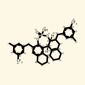 Cc1cc(Cc2cc3c(c4c2OP(=O)(O)O[C@@H]2C(Cc5cc(C)cc(C(F)(F)F)c5)CC5=C(CCCC5)[C@H]42)CCCC3)cc(C(F)(F)F)c1